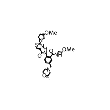 COCCNC(=O)c1cc(CN2CCO[C@@H](C)C2)ccc1NC(=O)c1csc(N2CC[C@H](OC)C2)n1